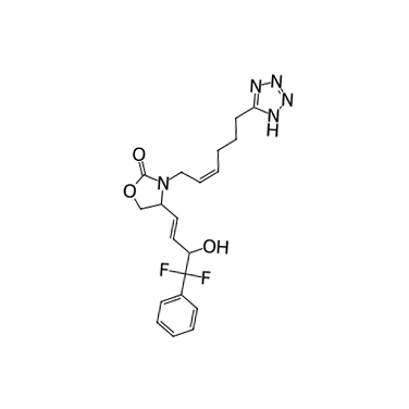 O=C1OCC(/C=C/C(O)C(F)(F)c2ccccc2)N1C/C=C\CCCc1nnn[nH]1